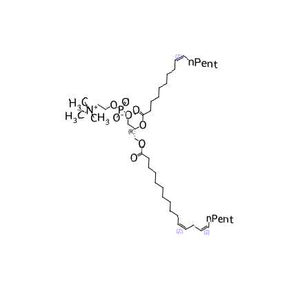 CCCCC/C=C\C/C=C\CCCCCCCCCC(=O)OC[C@H](COP(=O)([O-])OCC[N+](C)(C)C)OC(=O)CCCCCCC/C=C\CCCCC